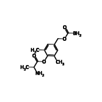 BC(=O)OCc1cc(C)c(OC(=O)C(C)N)c(C)c1